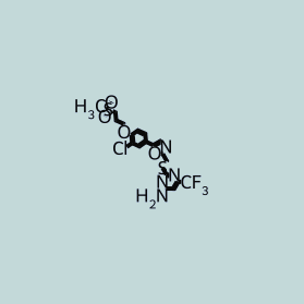 CS(=O)(=O)CCCOc1ccc(-c2cnc(CSc3nc(N)cc(C(F)(F)F)n3)o2)cc1Cl